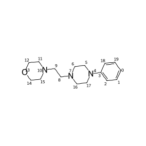 c1ccc(N2CCN(CCN3CCOCC3)CC2)cc1